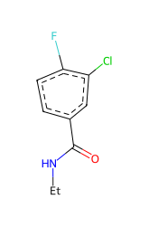 CCNC(=O)c1ccc(F)c(Cl)c1